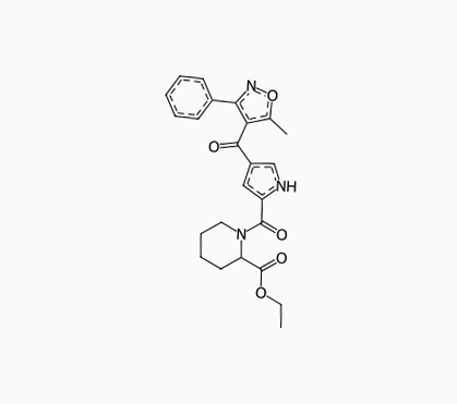 CCOC(=O)C1CCCCN1C(=O)c1cc(C(=O)c2c(-c3ccccc3)noc2C)c[nH]1